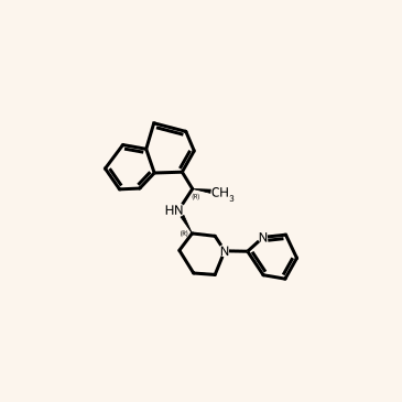 C[C@@H](N[C@@H]1CCCN(c2ccccn2)C1)c1cccc2ccccc12